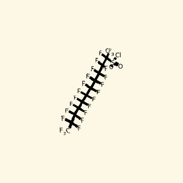 O=S(=O)(Cl)C(F)(C(F)(F)F)C(F)(F)C(F)(F)C(F)(F)C(F)(F)C(F)(F)C(F)(F)C(F)(F)C(F)(F)C(F)(F)C(F)(F)F